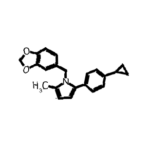 Cc1[c]cc(-c2ccc(C3CC3)cc2)n1Cc1ccc2c(c1)OCO2